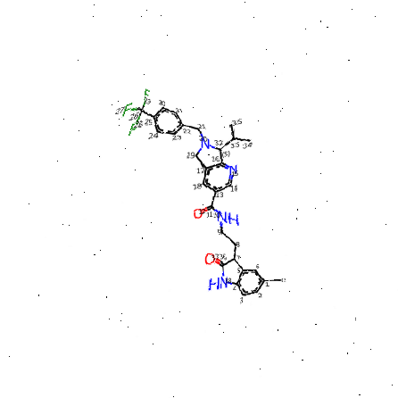 Cc1ccc2c(c1)C(CCNC(=O)c1cnc3c(c1)CN(Cc1ccc(C(F)(F)F)cc1)[C@H]3C(C)C)C(=O)N2